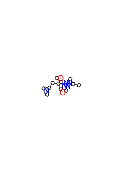 c1ccc(-c2ccc3c(c2)c2ccccc2n3-c2nc(-c3ccc4c(c3)oc3ccccc34)nc(-c3cccc4oc5ccc(-c6cccc(-c7cccc(-c8ccc9c(c8)c8ccccc8n9-c8ccccc8)c7)c6)cc5c34)n2)cc1